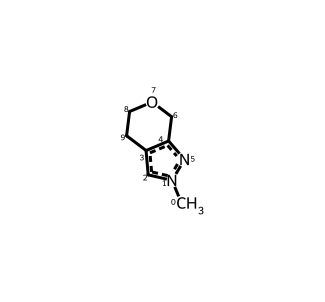 Cn1cc2c(n1)COCC2